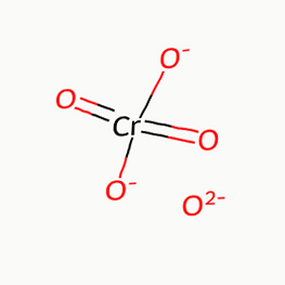 [O-2].[O]=[Cr](=[O])([O-])[O-]